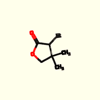 CCC1C(=O)OCC1(C)C